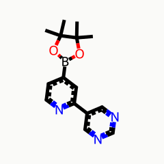 CC1(C)OB(c2ccnc(-c3cncnc3)c2)OC1(C)C